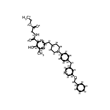 CCOC(=O)CNC(=O)c1nc(CC2CCN(c3ccc(Cc4cncc(OCc5ccccc5)c4)cc3)CC2)nc(C)c1O